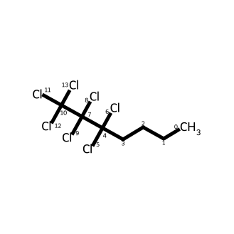 CCCCC(Cl)(Cl)C(Cl)(Cl)C(Cl)(Cl)Cl